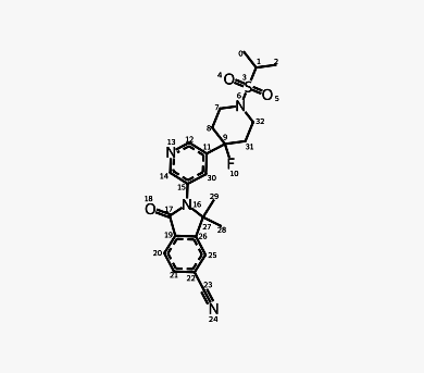 CC(C)S(=O)(=O)N1CCC(F)(c2cncc(N3C(=O)c4ccc(C#N)cc4C3(C)C)c2)CC1